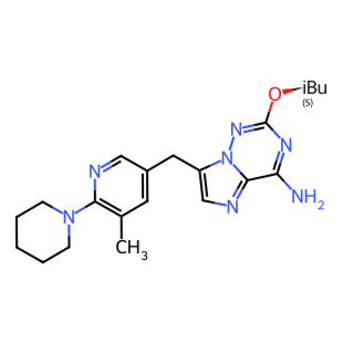 CC[C@H](C)Oc1nc(N)c2ncc(Cc3cnc(N4CCCCC4)c(C)c3)n2n1